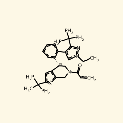 C=CC(=O)N1Cc2sc(C(C)(P)P)cc2[C@H](c2ccccc2-c2cn(CC)nc2C(P)(P)P)C1